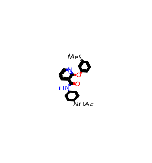 CSc1cccc(Oc2ncccc2C(=O)N[C@H]2CC[C@@H](NC(C)=O)CC2)c1